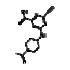 C#Cc1nc(NC2CCN(C(C)=O)CC2)cc(C(=O)O)n1